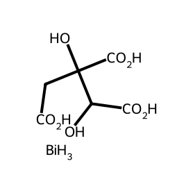 O=C(O)CC(O)(C(=O)O)C(O)C(=O)O.[BiH3]